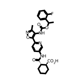 Cc1noc(-c2ccc(NC(=O)[C@H]3CCCC[C@@H]3C(=O)O)cn2)c1NC(=O)OC(C)c1ccccc1F